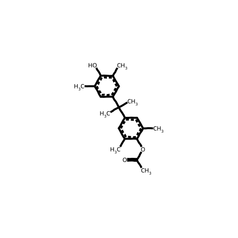 CC(=O)Oc1c(C)cc(C(C)(C)c2cc(C)c(O)c(C)c2)cc1C